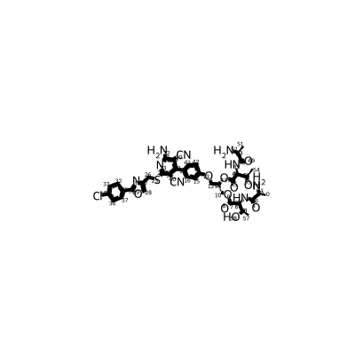 C[C@H](N)C(=O)N[C@H](C(=O)OC[C@H](COc1ccc(-c2c(C#N)c(N)nc(SCc3coc(-c4ccc(Cl)cc4)n3)c2C#N)cc1)OC(=O)[C@@H](NC(=O)[C@H](C)N)[C@@H](C)O)[C@@H](C)O